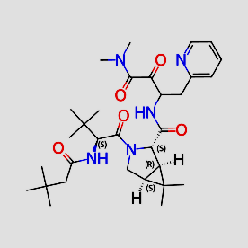 CN(C)C(=O)C(=O)C(Cc1ccccn1)NC(=O)[C@@H]1[C@@H]2[C@H](CN1C(=O)[C@@H](NC(=O)CC(C)(C)C)C(C)(C)C)C2(C)C